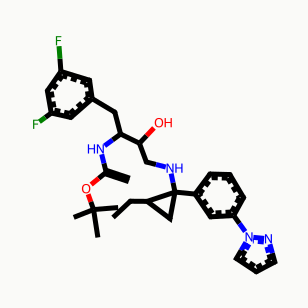 C=C(NC(Cc1cc(F)cc(F)c1)C(O)CNC1(c2cccc(-n3cccn3)c2)CC1CC)OC(C)(C)C